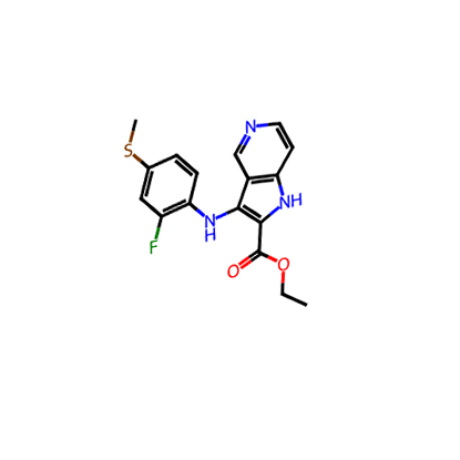 CCOC(=O)c1[nH]c2ccncc2c1Nc1ccc(SC)cc1F